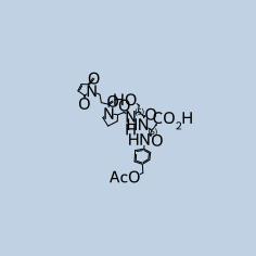 CC(=O)OCc1ccc(NC(=O)[C@H](CC(=O)O)NC(=O)[C@H](CO)NC(=O)C2CCCN2C(=O)CCN2C(=O)C=CC2=O)cc1